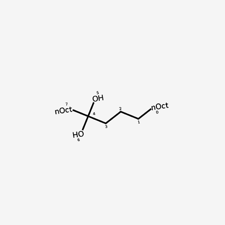 CCCCCCCCCCCC(O)(O)CCCCCCCC